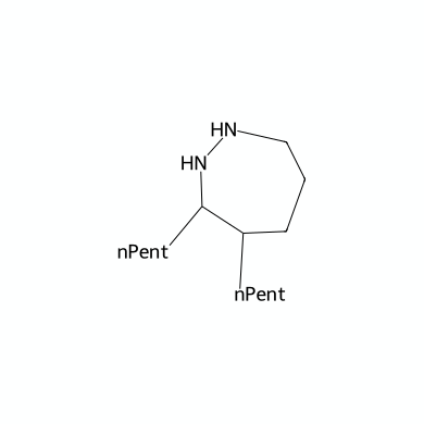 CCCCCC1CCCNNC1CCCCC